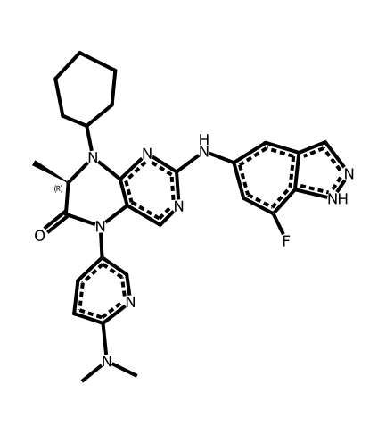 C[C@@H]1C(=O)N(c2ccc(N(C)C)nc2)c2cnc(Nc3cc(F)c4[nH]ncc4c3)nc2N1C1CCCCC1